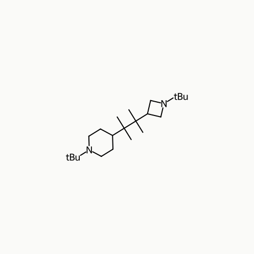 CC(C)(C)N1CCC(C(C)(C)C(C)(C)C2CN(C(C)(C)C)C2)CC1